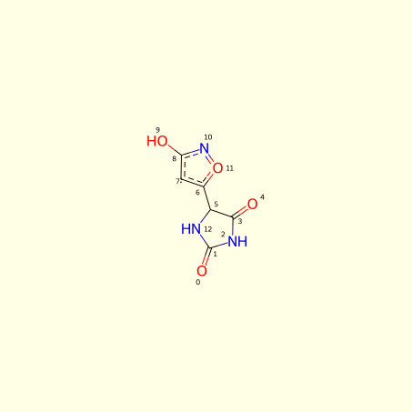 O=C1NC(=O)C(c2[c]c(O)no2)N1